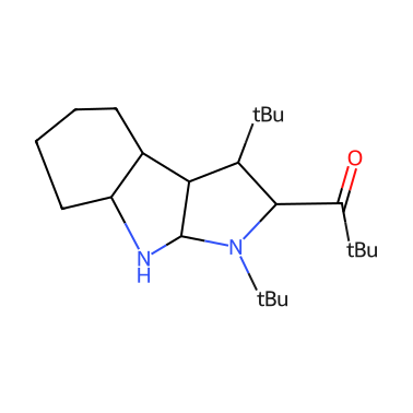 CC(C)(C)C(=O)C1C(C(C)(C)C)C2C3CCCCC3NC2N1C(C)(C)C